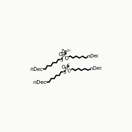 CCCCCCCCCCCCCCCCOP([O-])(=S)SCCCCCCCCCCCCCCCC.CCCCCCCCCCCCCCCCOP([O-])(=S)SCCCCCCCCCCCCCCCC.[Zn+2]